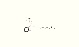 COC(=O)CCCCCSC[C@H]1OC[C@](Cn2cncn2)(c2ccc(F)cc2F)O1